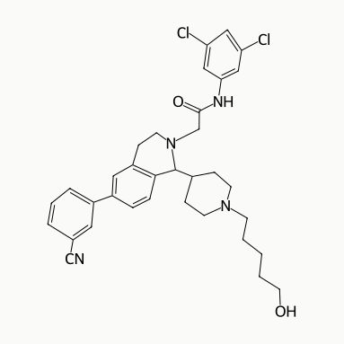 N#Cc1cccc(-c2ccc3c(c2)CCN(CC(=O)Nc2cc(Cl)cc(Cl)c2)C3C2CCN(CCCCCO)CC2)c1